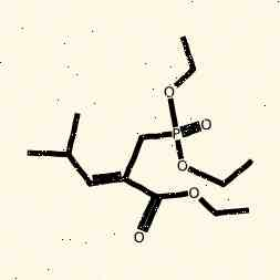 CCOC(=O)C(=CC(C)C)CP(=O)(OCC)OCC